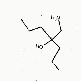 CCCC(O)(CN)CCC